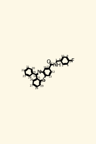 O=C(NCc1ccc(F)cc1)c1ccc2c(c1)N=C(c1ccccc1)c1ccccc1S2